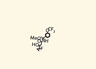 COC[C@H](NC(=O)C[C@H](O)C1(F)CC1)c1cccc(OC(F)(F)F)c1